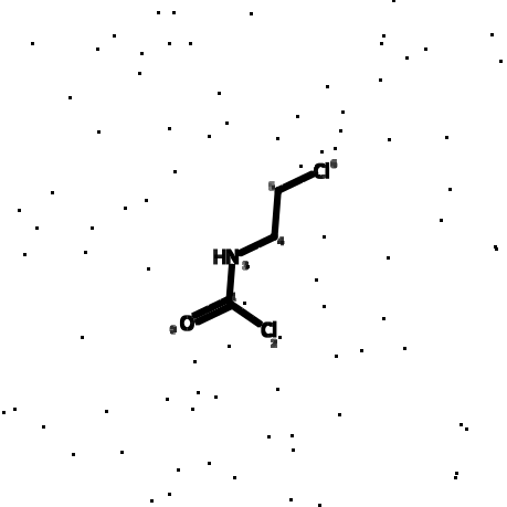 O=C(Cl)NCCCl